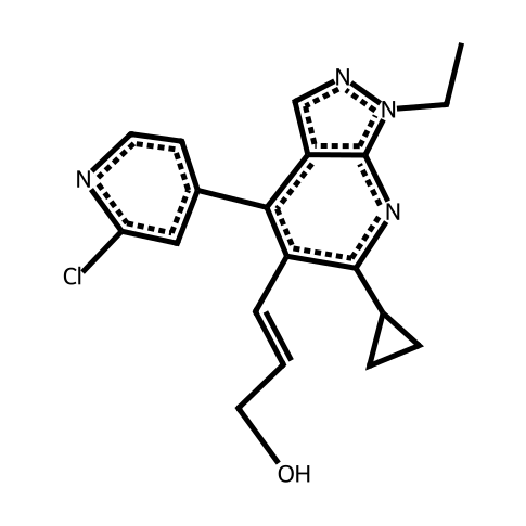 CCn1ncc2c(-c3ccnc(Cl)c3)c(/C=C/CO)c(C3CC3)nc21